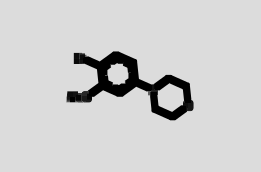 CCc1ccc(N2CCOCC2)cc1OC